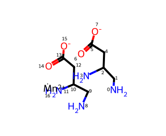 NCC(N)CC(=O)[O-].NCC(N)CC(=O)[O-].[Mn+2]